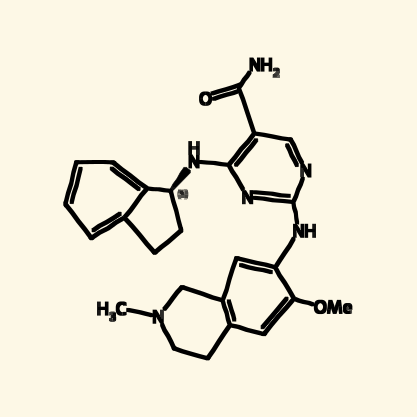 COc1cc2c(cc1Nc1ncc(C(N)=O)c(N[C@H]3CCc4ccccc43)n1)CN(C)CC2